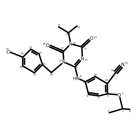 CC(C)Oc1ccc(Nc2nc(=O)n(C(C)C)c(=O)n2Cc2ccc(Cl)cc2)cc1C#N